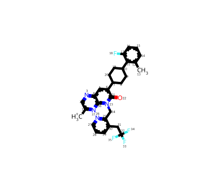 Cc1cnc2cc(C3CCC(c4c(C)cccc4F)CC3)c(=O)n(Cc3ncccc3CC(F)(F)F)c2n1